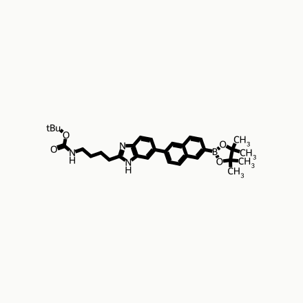 CC(C)(C)OC(=O)NCCCCc1nc2ccc(-c3ccc4cc(B5OC(C)(C)C(C)(C)O5)ccc4c3)cc2[nH]1